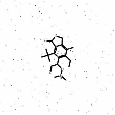 CCc1c(C)c2c(c(C(C)(C)C)c1C(C=O)O[SiH](C)C)C(=O)OC2